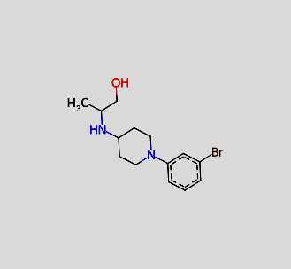 CC(CO)NC1CCN(c2cccc(Br)c2)CC1